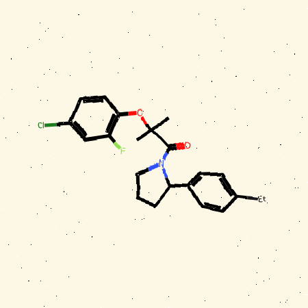 CCc1ccc(C2CCCN2C(=O)C(C)(C)Oc2ccc(Cl)cc2F)cc1